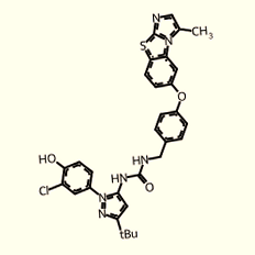 Cc1cnc2sc3ccc(Oc4ccc(CNC(=O)Nc5cc(C(C)(C)C)nn5-c5ccc(O)c(Cl)c5)cc4)cc3n12